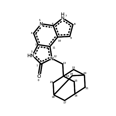 O=c1[nH]c2cnc3[nH]ccc3c2n1CC12CC3CC(CC(C3)C1)C2